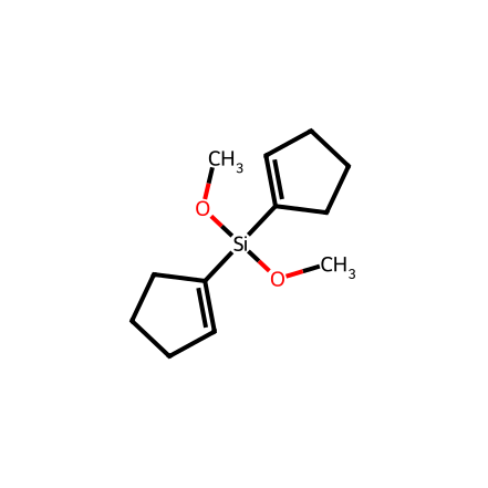 CO[Si](OC)(C1=CCCC1)C1=CCCC1